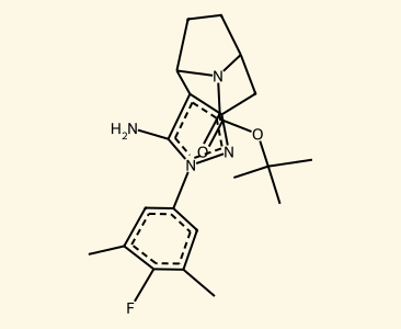 Cc1cc(-n2nc3c(c2N)C2CCC(C3)N2C(=O)OC(C)(C)C)cc(C)c1F